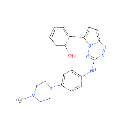 CN1CCN(c2ccc(Nc3ncc4ccc(-c5ccccc5O)n4n3)cc2)CC1